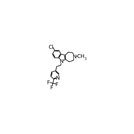 CN1CCc2c(n(CCc3ccc(C(F)(F)F)nc3)c3ccc(Cl)cc23)CC1